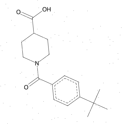 CC(C)(C)c1ccc(C(=O)N2CCC(C(=O)O)CC2)cc1